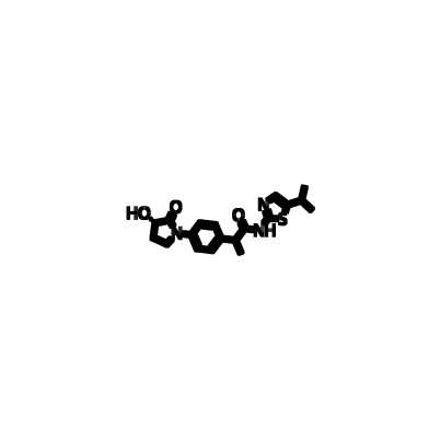 CC(C)c1cnc(NC(=O)C(C)c2ccc(N3CC[C@H](O)C3=O)cc2)s1